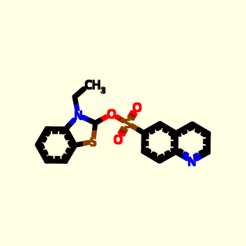 CCN1c2ccccc2SC1OS(=O)(=O)c1ccc2ncccc2c1